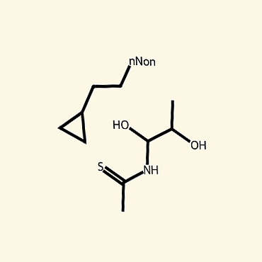 CC(=S)NC(O)C(C)O.CCCCCCCCCCCC1CC1